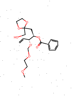 C=C[C@@H](OCOCCOC)[C@@H](CC1(CO)OCCO1)OC(=O)c1ccccc1